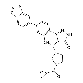 Cc1cc(-c2ccc3cc[nH]c3c2)ccc1-c1n[nH]c(=O)n1C[C@@H]1CCN(C(=O)C2CC2)C1